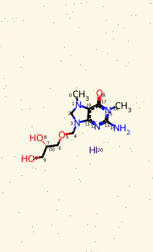 CN1CN(COC[C@@H](O)CO)c2nc(N)n(C)c(=O)c21.I